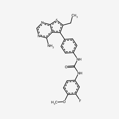 CCc1sc2ncnc(N)c2c1-c1ccc(NC(=O)Nc2ccc(OC)c(F)c2)cc1